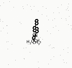 CC(C)(C)c1ccc2oc(-c3ccc4ccc5c(-c6ccc7ccccc7c6)ccc6ccc3c4c65)nc2c1